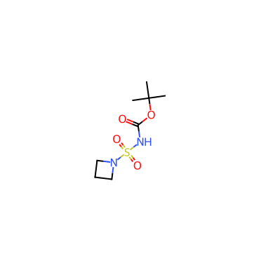 CC(C)(C)OC(=O)NS(=O)(=O)N1CCC1